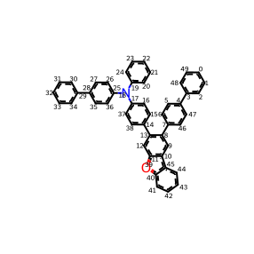 c1ccc(-c2ccc(-c3cc4c(cc3-c3ccc(N(c5ccccc5)c5ccc(-c6ccccc6)cc5)cc3)oc3ccccc34)cc2)cc1